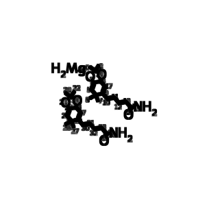 CC1(C)OC2=CC(C)(C)C(/C=C/C=CC(N)=O)=CC2O1.CC1(C)OC2=CC(C)(C)C(/C=C/C=CC(N)=O)=CC2O1.[MgH2]